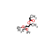 C=CC(=O)OC(C)CC[Si](C)(OC(C)C)OC(C)C